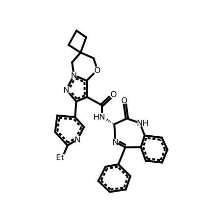 CCc1ccc(-c2nn3c(c2C(=O)N[C@H]2N=C(c4ccccc4)c4ccccc4NC2=O)OCC2(CCC2)C3)cn1